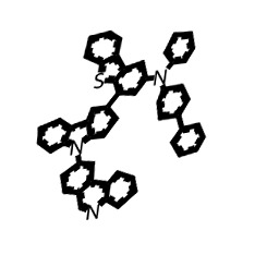 c1ccc(-c2ccc(N(c3ccccc3)c3cc(-c4ccc5c(c4)c4ccccc4n5-c4ccc5cnc6ccccc6c5c4)c4sc5ccccc5c4c3)cc2)cc1